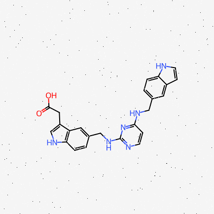 O=C(O)Cc1c[nH]c2ccc(CNc3nccc(NCc4ccc5[nH]ccc5c4)n3)cc12